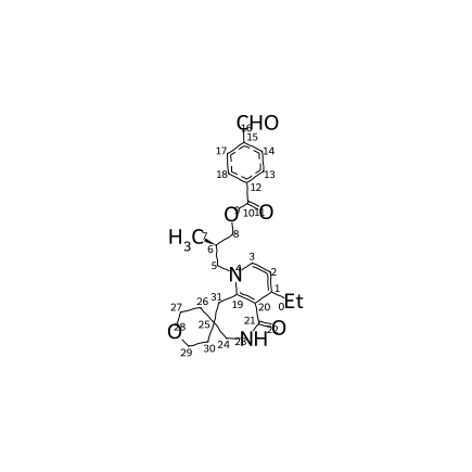 CCC1=C=CN(C[C@@H](C)COC(=O)c2ccc(C=O)cc2)C2=C1C(=O)NCC1(CCOCC1)C2